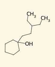 CCC(CC)CCC1(O)CCCCC1